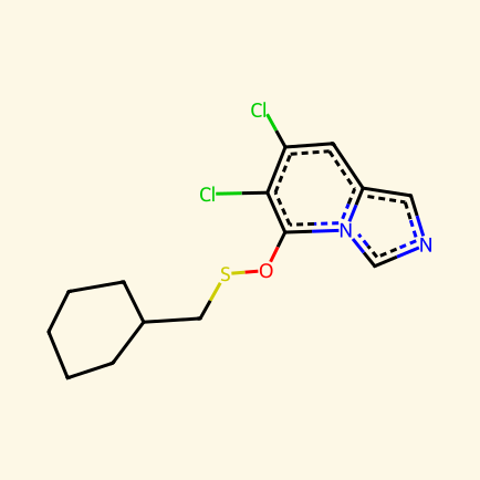 Clc1cc2cncn2c(OSCC2CCCCC2)c1Cl